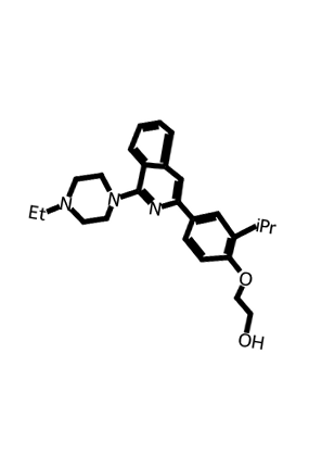 CCN1CCN(c2nc(-c3ccc(OCCO)c(C(C)C)c3)cc3ccccc23)CC1